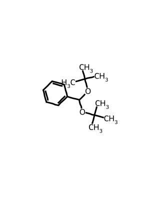 CC(C)(C)OC(OC(C)(C)C)c1ccccc1